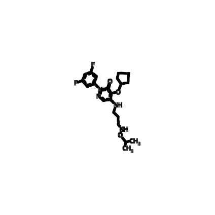 CC(C)ONCCCNc1cnn(-c2cc(F)cc(F)c2)c(=O)c1OC1CCCC1